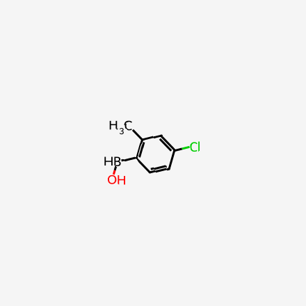 Cc1cc(Cl)ccc1BO